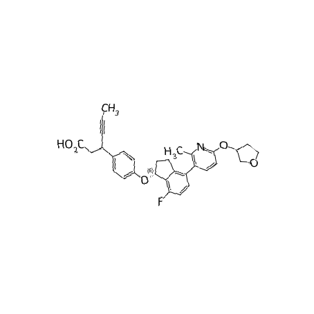 CC#CC(CC(=O)O)c1ccc(O[C@@H]2CCc3c(-c4ccc(OC5CCOC5)nc4C)ccc(F)c32)cc1